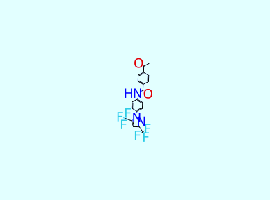 CC(=O)c1ccc(C(=O)Nc2ccc(-n3nc(C(F)(F)F)cc3C(F)(F)F)cc2)cc1